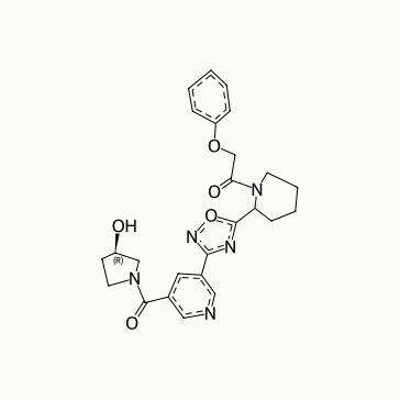 O=C(c1cncc(-c2noc(C3CCCCN3C(=O)COc3ccccc3)n2)c1)N1CC[C@@H](O)C1